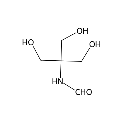 O=CNC(CO)(CO)CO